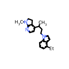 CCc1cccc2c1ccn2CCC(C)c1ccnc2c1CCN2C